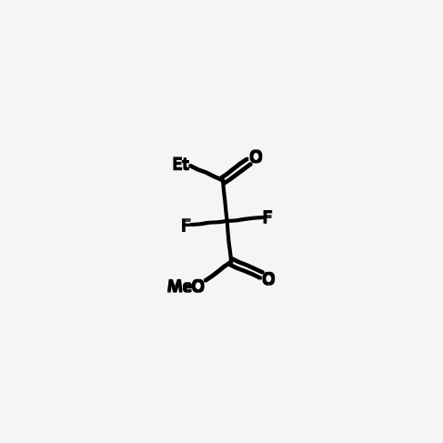 CCC(=O)C(F)(F)C(=O)OC